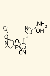 CCC1=C(Oc2cc(C#N)ccc2CC[C@H]2C=C(C(O)CN)C=NC2)C=C(OCC2CCC2)N=C(C)C1